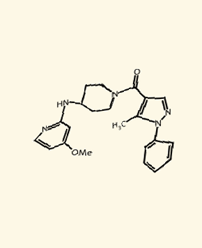 COc1ccnc(NC2CCN(C(=O)c3cnn(-c4ccccc4)c3C)CC2)c1